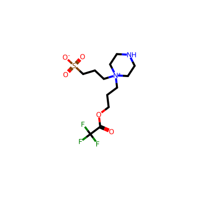 O=C(OCCC[N+]1(CCCS(=O)(=O)[O-])CCNCC1)C(F)(F)F